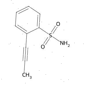 CC#Cc1ccccc1S(N)(=O)=O